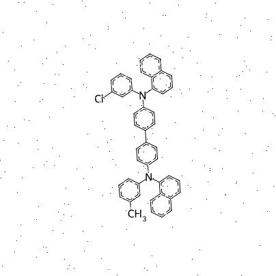 Cc1cccc(N(c2ccc(-c3ccc(N(c4cccc(Cl)c4)c4cccc5ccccc45)cc3)cc2)c2cccc3ccccc23)c1